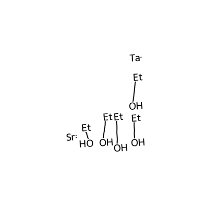 CCO.CCO.CCO.CCO.CCO.[Sr].[Ta]